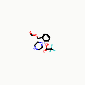 C1CNCCN1.O=C(O)C(F)(F)F.O=COCc1ccccc1